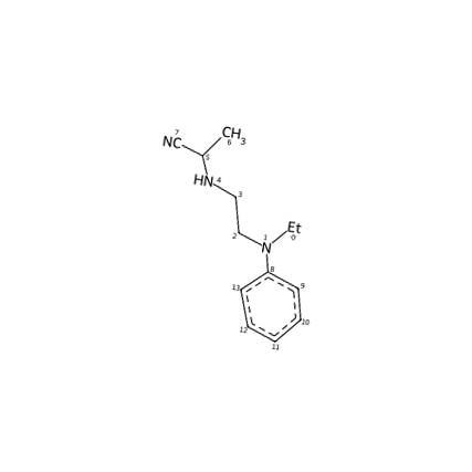 CCN(CCNC(C)C#N)c1ccccc1